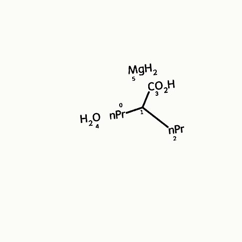 CCCC(CCC)C(=O)O.O.[MgH2]